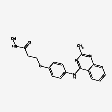 Cc1nc(Nc2ccc(OCCC(=O)NO)cc2)c2ccccc2n1